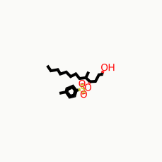 CCCCCCCCC(C)C(CCCO)OS(=O)(=O)c1ccc(C)cc1